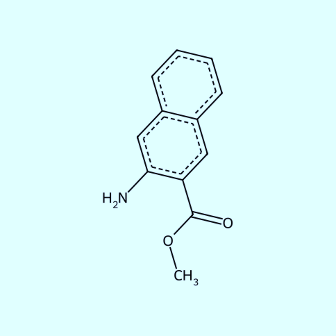 COC(=O)c1cc2ccccc2cc1N